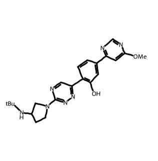 COc1cc(-c2ccc(-c3cnc(N4CCC(NC(C)(C)C)C4)nn3)c(O)c2)ncn1